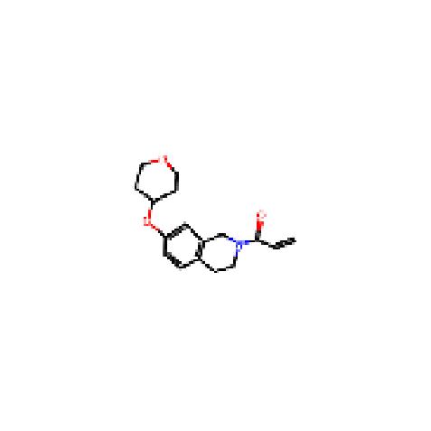 C=CC(=O)N1CCc2ccc(OC3CCOCC3)cc2C1